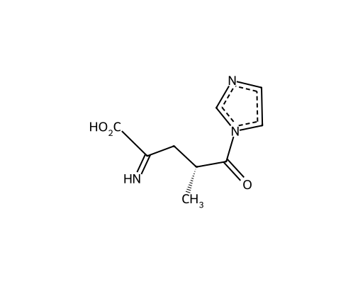 C[C@H](CC(=N)C(=O)O)C(=O)n1ccnc1